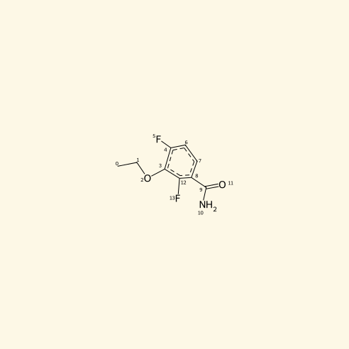 CCOc1c(F)ccc(C(N)=O)c1F